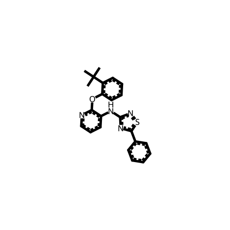 CC(C)(C)c1ccccc1Oc1ncccc1Nc1nsc(-c2ccccc2)n1